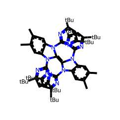 Cc1cc2c(cc1C)N(c1nc(C(C)(C)C)cc(C(C)(C)C)n1)C(=C1N(c3nc(C(C)(C)C)cc(C(C)(C)C)n3)c3cc(C)c(C)cc3N1c1nc(C(C)(C)C)cc(C(C)(C)C)n1)N2c1nc(C(C)(C)C)cc(C(C)(C)C)n1